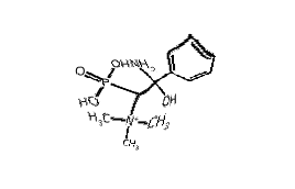 C[N+](C)(C)C(C(N)(O)c1ccccc1)P(=O)(O)O